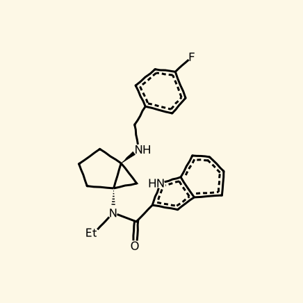 CCN(C(=O)c1cc2ccccc2[nH]1)[C@]12CCC[C@]1(NCc1ccc(F)cc1)C2